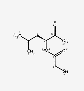 CC(C)C[C@H](NC(=O)CS)C(=O)O